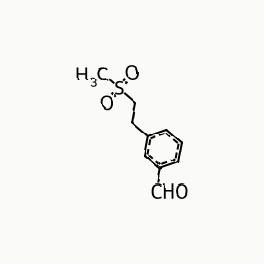 CS(=O)(=O)CCc1cccc(C=O)c1